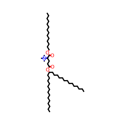 CCCCCCCCCCCCCCOC(=O)C(CCC(=O)OC(CCCCCCCCCCCCCC)CCCCCCCCCCCCCC)[N+](C)(C)C